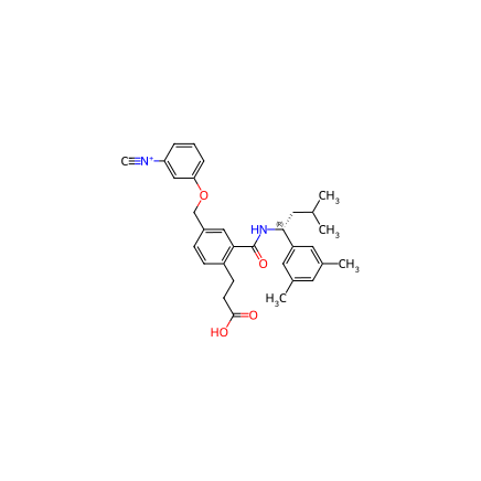 [C-]#[N+]c1cccc(OCc2ccc(CCC(=O)O)c(C(=O)N[C@H](CC(C)C)c3cc(C)cc(C)c3)c2)c1